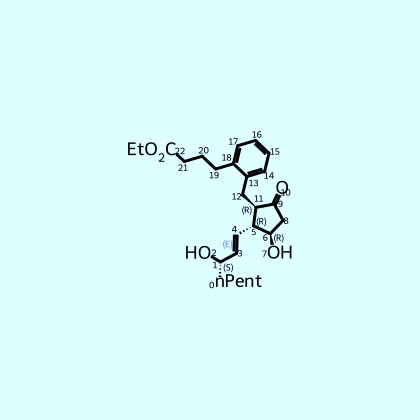 CCCCC[C@H](O)/C=C/[C@H]1[C@H](O)CC(=O)[C@@H]1Cc1ccccc1CCCC(=O)OCC